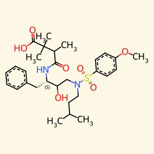 COc1ccc(S(=O)(=O)N(CCC(C)C)CC(O)[C@H](Cc2ccccc2)NC(=O)C(C)C(C)(C)C(=O)O)cc1